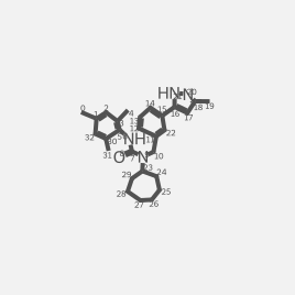 Cc1cc(C)c(NC(=O)N(Cc2cccc(-c3cc(C)n[nH]3)c2)C2CCCCCC2)c(C)c1